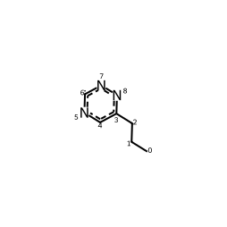 CCCc1cn[c]nn1